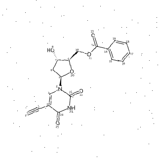 C#Cc1cn([C@H]2C[C@H](O)[C@@H](COC(=O)c3ccccc3)O2)c(=O)[nH]c1=O